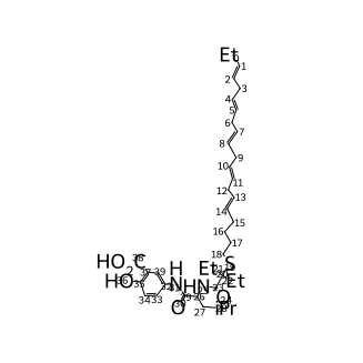 CCC=CCC=CCC=CCC=CCC=CCCCCSC(CC)(CC)C(=O)NC(CC(C)C)C(=O)Nc1ccc(O)c(C(=O)O)c1